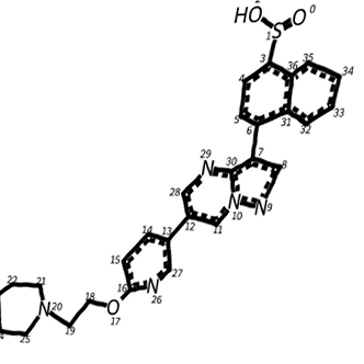 O=S(O)c1ccc(-c2cnn3cc(-c4ccc(OCCN5CCCCC5)nc4)cnc23)c2ccccc12